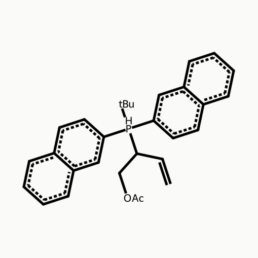 C=CC(COC(C)=O)[PH](c1ccc2ccccc2c1)(c1ccc2ccccc2c1)C(C)(C)C